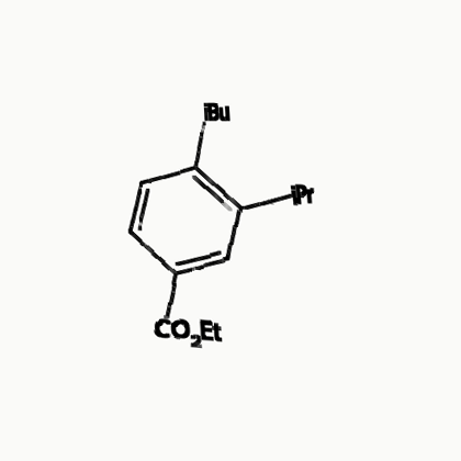 CCOC(=O)c1ccc(C(C)CC)c(C(C)C)c1